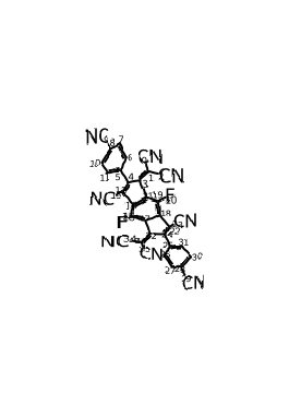 N#CC(C#N)=C1C(c2ccc(C#N)cc2)=C(C#N)c2c(F)c3c(c(F)c21)C(C#N)=C(c1ccc(C#N)cc1)C3=C(C#N)C#N